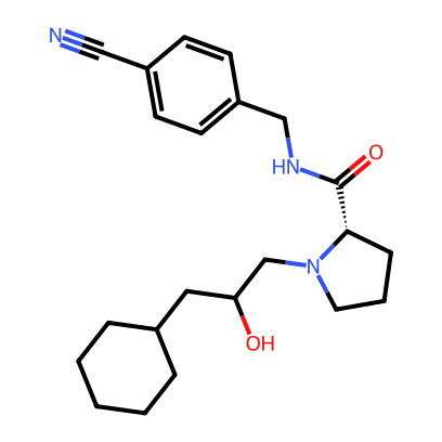 N#Cc1ccc(CNC(=O)[C@@H]2CCCN2CC(O)CC2CCCCC2)cc1